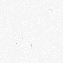 O=S(=O)(O)c1cc(S(=O)(=O)O)c2cc(Nc3nc(Cl)nc(Cl)n3)ccc2c1